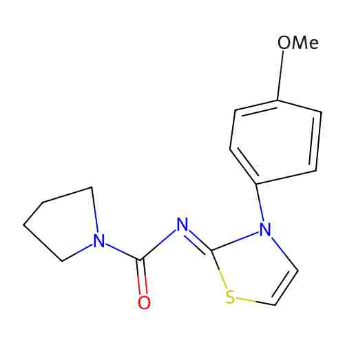 COc1ccc(-n2ccsc2=NC(=O)N2CCCC2)cc1